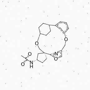 CS(=O)(=O)N[C@H]1CC[C@@]2(COC3CCC(CC3)c3cccc(c3)OCc3coc2n3)C1